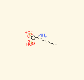 CCCCCCCCCCC(CN)c1cc(S(=O)(=O)O)cc(S(=O)(=O)O)c1